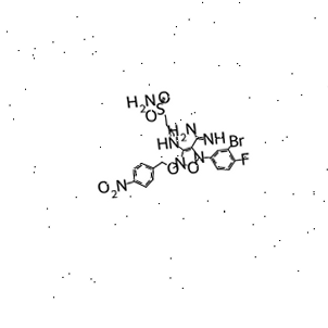 N=C(N)C1=C(NCCCS(N)(=O)=O)N(OCc2ccc([N+](=O)[O-])cc2)ON1c1ccc(F)c(Br)c1